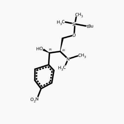 CN(C)[C@H](CO[Si](C)(C)C(C)(C)C)[C@H](O)c1ccc([N+](=O)[O-])cc1